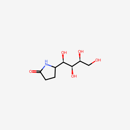 O=C1CCC([C@@H](O)[C@H](O)[C@@H](O)CO)N1